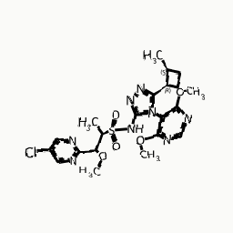 COc1ncnc(OC)c1-n1c(NS(=O)(=O)C(C)C(OC)c2ncc(Cl)cn2)nnc1[C@@H]1CC[C@@H]1C